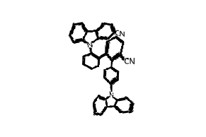 N#Cc1cc(C#N)c(-c2ccc(-n3c4ccccc4c4ccccc43)cc2)c(C2=C(n3c4ccccc4c4ccccc43)CCCC2)c1